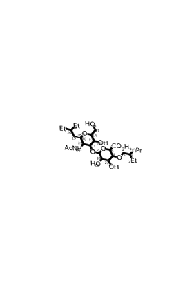 CCCC(CC)COC1C(C(=O)O)OC(OC2C(O)C(CO)O[C@H](CC(CC)CC)C2NC(C)=O)C(O)C1O